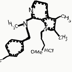 COCCn1c(C)c(C)c2ccnc(N(C)Cc3ccc(F)cc3)c21.Cl